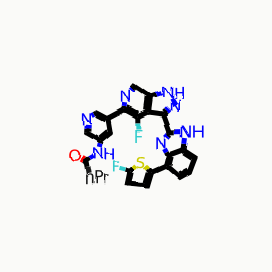 CCCC(=O)Nc1cncc(-c2ncc3[nH]nc(-c4nc5c(-c6ccc(F)s6)cccc5[nH]4)c3c2F)c1